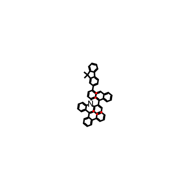 CC1(C)c2ccccc2-c2ccc(-c3ccc(N(c4ccccc4-c4cccc5ccccc45)c4ccccc4-c4cc5ccccc5c5ccccc45)cc3)cc21